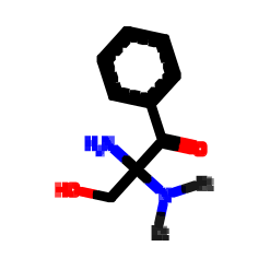 CCN(CC)C(N)(CO)C(=O)c1ccccc1